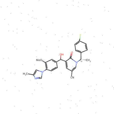 COc1cc(C(O)c2cc(C#N)cn([C@@H](C)c3ccc(F)cc3)c2=O)ccc1-n1cnc(C)c1